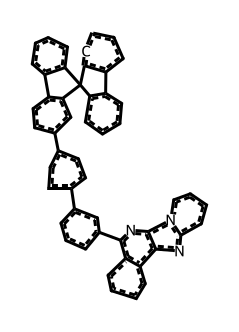 c1cc(-c2ccc(-c3ccc4c(c3)C3(c5ccccc5-c5ccccc53)c3ccccc3-4)cc2)cc(-c2nc3c(nc4ccccn43)c3ccccc23)c1